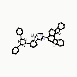 C=C(/C=C(\C=C/C)c1cc2oc3ccccc3c2c2c1ccc1c3ccccc3sc12)c1cccc(-c2nc(-c3ccccc3)nc(-c3ccccc3)n2)c1